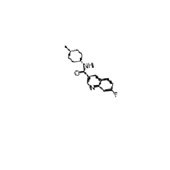 C[C@H]1CC[C@H](NC(=O)c2cnc3cc(F)ccc3c2)CC1